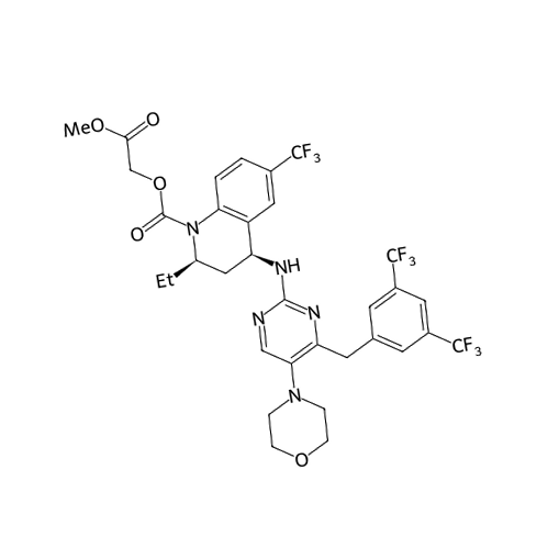 CC[C@@H]1C[C@H](Nc2ncc(N3CCOCC3)c(Cc3cc(C(F)(F)F)cc(C(F)(F)F)c3)n2)c2cc(C(F)(F)F)ccc2N1C(=O)OCC(=O)OC